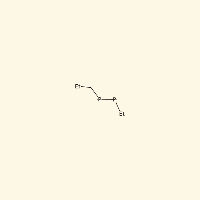 CCC[P][P]CC